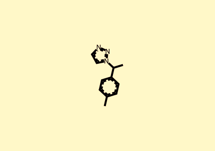 Cc1ccc(C(C)n2ccnn2)cc1